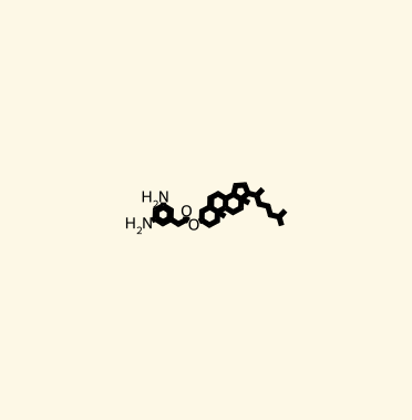 CC(C)CCCC(C)C1CCC2C3CC=C4CC(OC(=O)Cc5cc(N)cc(N)c5)CCC4(C)C3CCC12C